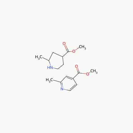 COC(=O)C1CCNC(C)C1.COC(=O)c1ccnc(C)c1